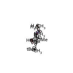 COC(=O)c1nc(N(CCCC(CO)O[Si](c2ccccc2)(c2ccccc2)C(C)(C)C)c2cc(C)c(/N=c3\sc4ccccc4n3COCC[Si](C)(C)C)nn2)sc1CCCOc1ccc(C#CCN(C)C(=O)OC(C)(C)C)cc1F